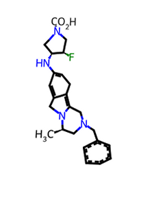 C[C@@H]1CN(Cc2ccccc2)CC2=C3CC=C(N[C@H]4CN(C(=O)O)C[C@H]4F)C=C3CN21